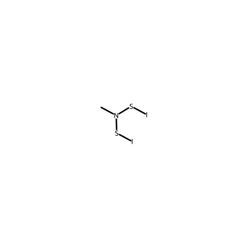 CN(SI)SI